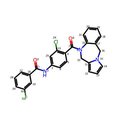 O=C(Nc1ccc(C(=O)N2Cc3cccn3Cc3ccccc32)c(Cl)c1)c1cccc(F)c1